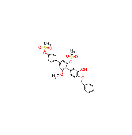 COc1cc(-c2ccc(OS(C)(=O)=O)cc2)cc(OS(C)(=O)=O)c1-c1ccc(OCc2ccccc2)c(O)c1